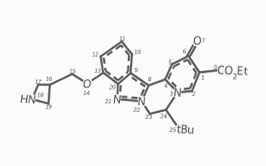 CCOC(=O)c1cn2c(cc1=O)-c1c3cccc(OCC4CNC4)c3nn1CC2C(C)(C)C